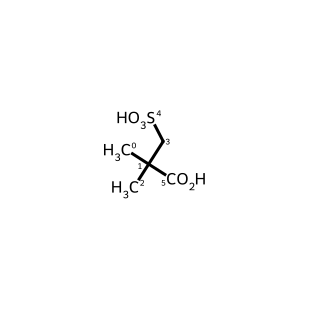 CC(C)(CS(=O)(=O)O)C(=O)O